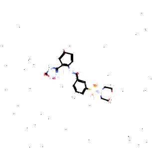 O=C(Nc1ccc(Br)cc1-c1noc(=O)[nH]1)c1cccc(S(=O)(=O)N2CCOCC2)c1